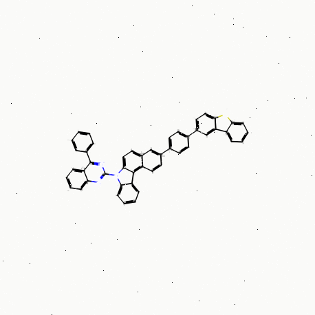 c1ccc(-c2nc(-n3c4ccccc4c4c5ccc(-c6ccc(-c7ccc8sc9ccccc9c8c7)cc6)cc5ccc43)nc3ccccc23)cc1